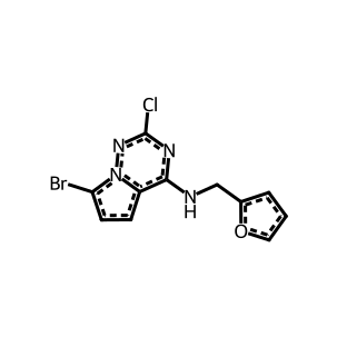 Clc1nc(NCc2ccco2)c2ccc(Br)n2n1